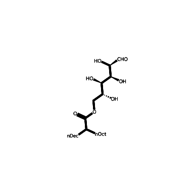 CCCCCCCCCCC(CCCCCCCC)C(=O)OC[C@@H](O)[C@@H](O)[C@H](O)[C@@H](O)C=O